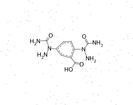 NC(=O)N(N)c1ccc(N(N)C(N)=O)c(C(=O)O)c1